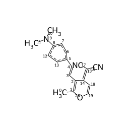 CC1=C(C=Cc2ccc(N(C)C)cc2)C(=C(C#N)C#N)C=CO1